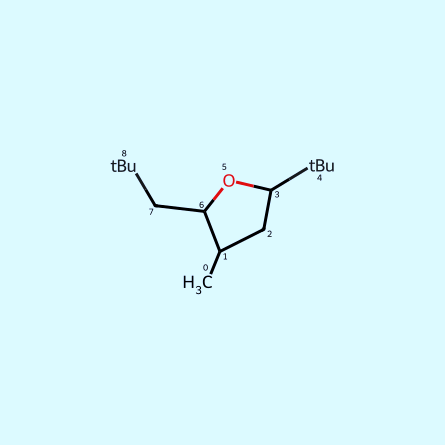 CC1CC(C(C)(C)C)OC1CC(C)(C)C